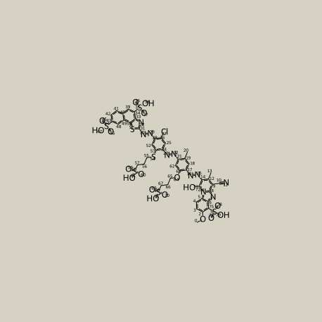 COc1ccc2c(nc3c(C#N)c(C)c(N=Nc4cc(C)c(N=Nc5cc(Cl)c(N=Nc6nc7c(S(=O)(=O)O)cc8ccc(S(=O)(=O)O)cc8c7s6)cc5SCCCS(=O)(=O)O)cc4OCCCS(=O)(=O)O)c(O)n32)c1S(=O)(=O)O